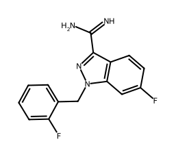 N=C(N)c1nn(Cc2ccccc2F)c2cc(F)ccc12